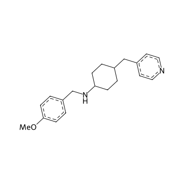 COc1ccc(CNC2CCC(Cc3ccncc3)CC2)cc1